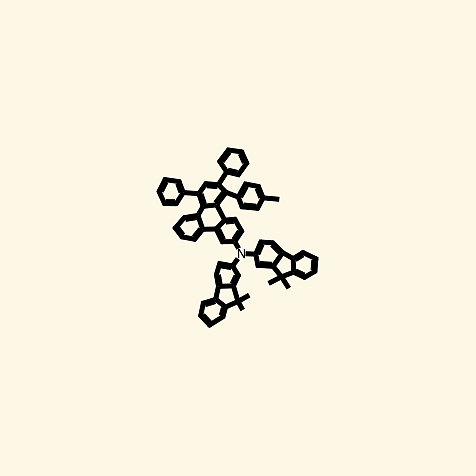 Cc1ccc(-c2c(-c3ccccc3)cc(-c3ccccc3)c3c4ccccc4c4cc(N(c5ccc6c(c5)C(C)(C)c5ccccc5-6)c5ccc6c(c5)C(C)(C)c5ccccc5-6)ccc4c23)cc1